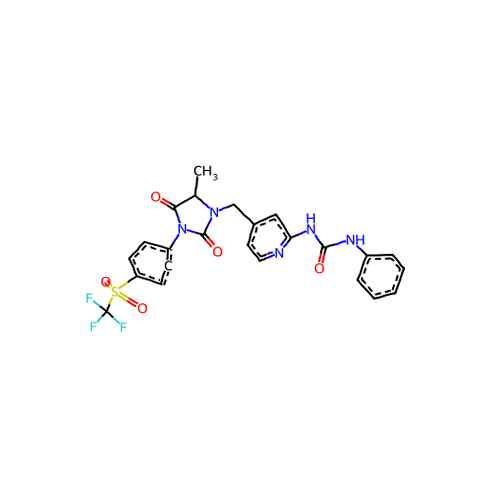 CC1C(=O)N(c2ccc(S(=O)(=O)C(F)(F)F)cc2)C(=O)N1Cc1ccnc(NC(=O)Nc2ccccc2)c1